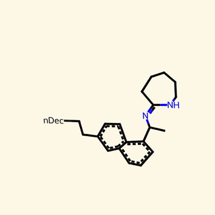 CCCCCCCCCCCCc1ccc2c(C(C)N=C3CCCCCN3)cccc2c1